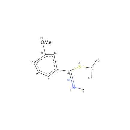 C=C(C)S/C(=N\C)c1cccc(OC)c1